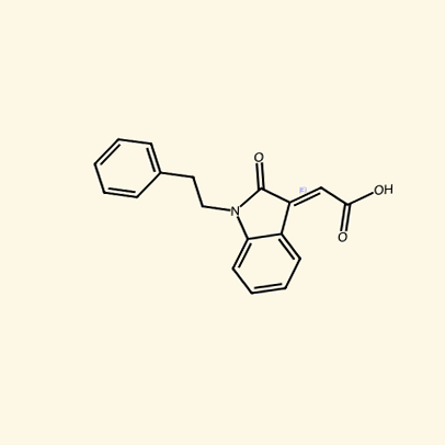 O=C(O)/C=C1/C(=O)N(CCc2ccccc2)c2ccccc21